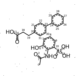 CC(=O)Nc1c(O)cccc1[As](=O)(O)O.O=C(O)CCc1ccc(-c2ccccc2)cc1